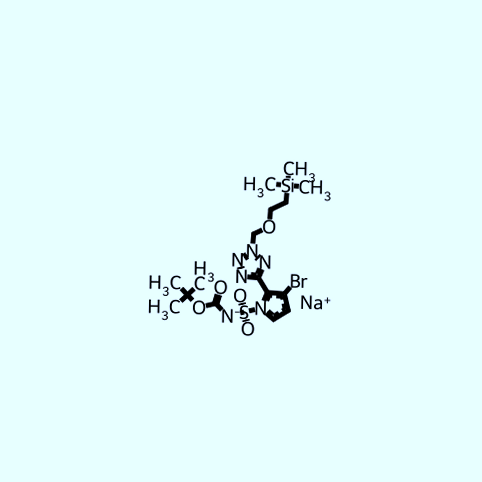 CC(C)(C)OC(=O)[N-]S(=O)(=O)n1ccc(Br)c1-c1nnn(COCC[Si](C)(C)C)n1.[Na+]